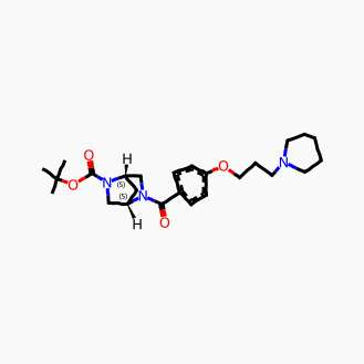 CC(C)(C)OC(=O)N1C[C@@H]2C[C@H]1CN2C(=O)c1ccc(OCCCN2CCCCC2)cc1